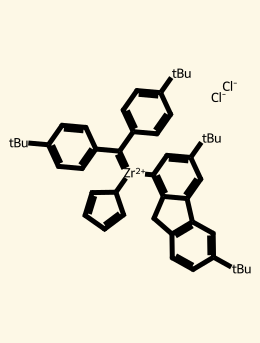 CC(C)(C)c1ccc([C](c2ccc(C(C)(C)C)cc2)=[Zr+2]([c]2cc(C(C)(C)C)cc3c2Cc2ccc(C(C)(C)C)cc2-3)[CH]2C=CC=C2)cc1.[Cl-].[Cl-]